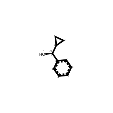 O[C@H](c1ccccc1)C1CC1